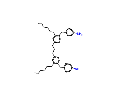 CCCCCCc1cc(CCCc2ccc(Cc3ccc(N)cc3)c(CCCCCC)c2)ccc1Cc1ccc(N)cc1